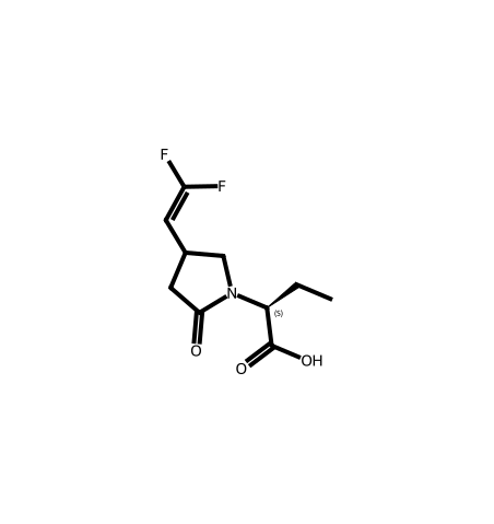 CC[C@@H](C(=O)O)N1CC(C=C(F)F)CC1=O